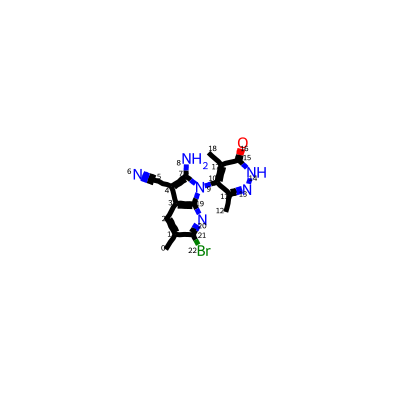 Cc1cc2c(C#N)c(N)n(-c3c(C)n[nH]c(=O)c3C)c2nc1Br